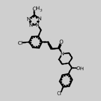 Cc1nnn(Cc2cc(Cl)ccc2C=CC(=O)N2CCC(C(O)c3ccc(Cl)cc3)CC2)n1